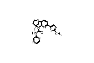 Cc1ncc(-c2ccc3c(n2)N(C(=O)Nc2cnccn2)[C@H]2CCN3C2)s1